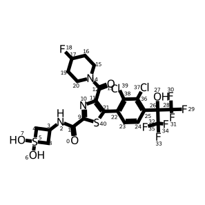 O=C(NC1CS(O)(O)C1)c1nc(C(=O)N2CCC(F)CC2)c(-c2ccc(C(O)(C(F)(F)F)C(F)(F)F)c(Cl)c2Cl)s1